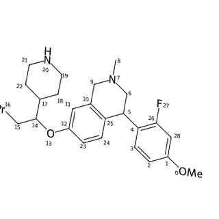 COc1ccc(C2CN(C)Cc3cc(OC(CC(C)C)C4CCNCC4)ccc32)c(F)c1